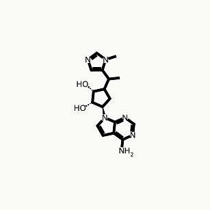 CC(c1cncn1C)C1C[C@@H](n2ccc3c(N)ncnc32)[C@H](O)[C@@H]1O